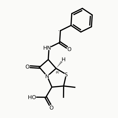 CC1(C)S[C@@H]2C(NC(=O)[CH]c3ccccc3)C(=O)N2C1C(=O)O